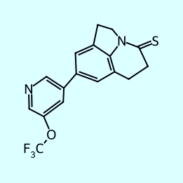 FC(F)(F)Oc1cncc(-c2cc3c4c(c2)CCN4C(=S)CC3)c1